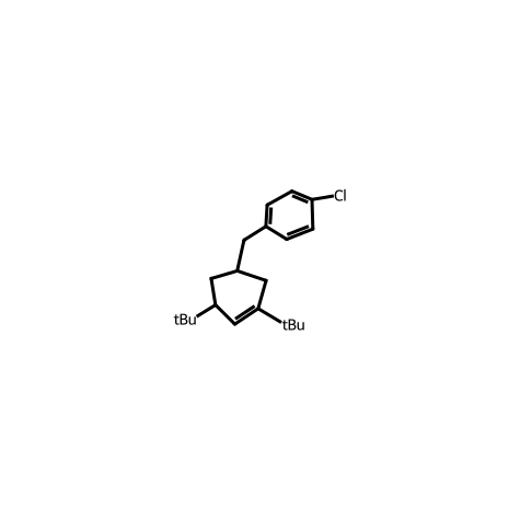 CC(C)(C)C1=CC(C(C)(C)C)CC(Cc2ccc(Cl)cc2)C1